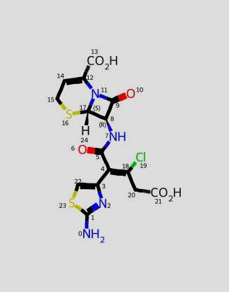 Nc1nc(C(C(=O)N[C@@H]2C(=O)N3C(C(=O)O)=CCS[C@@H]23)=C(Cl)CC(=O)O)cs1